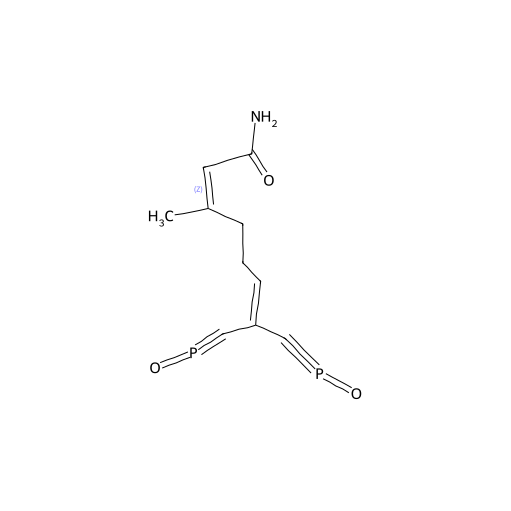 C/C(=C/C(N)=O)CCC=C(C#P=O)C#P=O